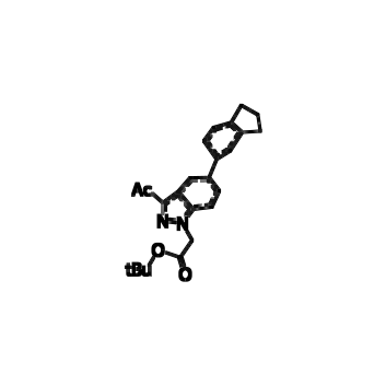 CC(=O)c1nn(CC(=O)OC(C)(C)C)c2ccc(-c3ccc4c(c3)CCC4)cc12